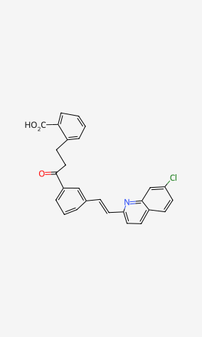 O=C(CCc1ccccc1C(=O)O)c1cccc(C=Cc2ccc3ccc(Cl)cc3n2)c1